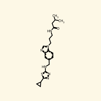 CC(C)CC(=O)NCCCn1cnc2cc(CNc3nnc(C4CC4)s3)ccc21